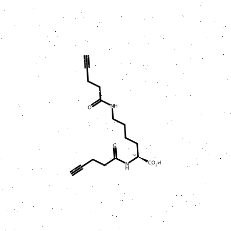 C#CCCC(=O)NCCCC[C@H](NC(=O)CCC#C)C(=O)O